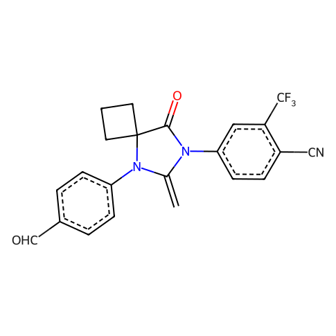 C=C1N(c2ccc(C#N)c(C(F)(F)F)c2)C(=O)C2(CCC2)N1c1ccc(C=O)cc1